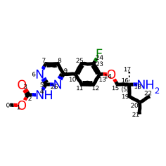 COC(=O)Nc1nccc(-c2ccc(OC[C@@](C)(N)CC(C)C)c(F)c2)n1